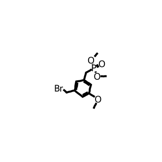 COc1cc(CBr)cc(CP(=O)(OC)OC)c1